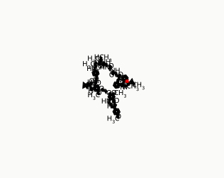 COc1ccc(C2=CN3C(=O)c4cc(OC)c(OCCCOc5cc6c(cc5OC)C(=O)N5CC7(CC7)C[C@H]5[C@H](O)N6C(=O)OCc5ccc(NC(=O)[C@H](C)NC(=O)[C@@H](NC(=O)CNC(=O)CNC(=O)CCC(=O)N6Cc7ccccc7-c7nnn(C(C)(C)C8CC8C)c7-c7ccccc76)C(C)C)cc5)cc4NC[C@@H]3C2)cc1